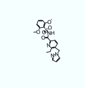 CCc1nc(C(=O)NS(=O)(=O)c2c(OC)cccc2OC)ccc1Cn1cccn1